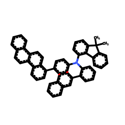 CC1(C)c2ccccc2-c2c(N(c3ccc(-c4cccc5c4ccc4c6ccccc6ccc54)cc3)c3ccccc3-c3ccc4ccccc4c3)cccc21